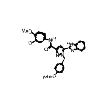 COc1ccc(Cn2nc(C(=O)Nc3ccc(OC)c(Cl)c3)cc2-c2nc3ccccc3[nH]2)cc1